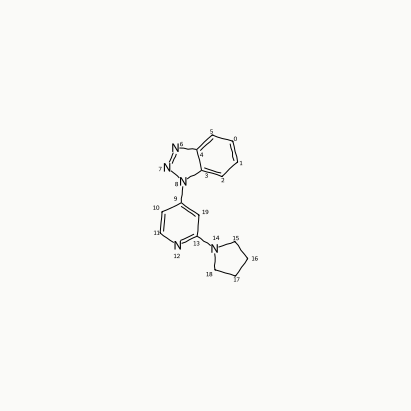 c1ccc2c(c1)nnn2-c1ccnc(N2CCCC2)c1